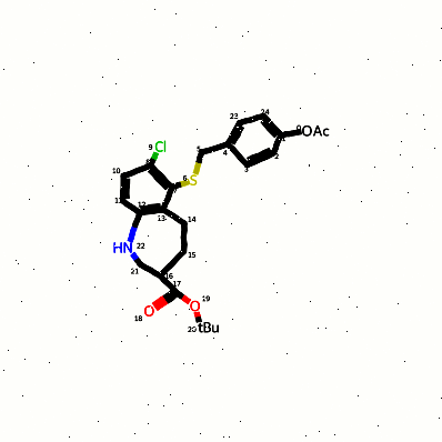 CC(=O)Oc1ccc(CSc2c(Cl)ccc3c2CCC(C(=O)OC(C)(C)C)CN3)cc1